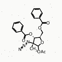 CC(=O)OC1O[C@H](COC(=O)c2ccccc2)[C@@H](OC(=O)c2ccccc2)[C@@]1(C)N=[N+]=[N-]